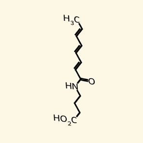 C/C=C/C=C/C=C/C(=O)NCCCC(=O)O